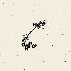 C[C@@H]1C[C@@H](O)CN1C(=O)[C@@H](NC(=O)CCCCCCCCCCNC(=O)CN1CCN(c2cccc(-c3cnc4ccc(N5CCC[C@@H]5c5cccc(F)c5)nn34)n2)CC1)C(C)(C)C